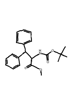 COC(=O)C(NC(=O)OC(C)(C)C)C(c1ccccc1)c1ccccc1